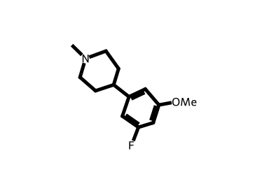 COc1cc(F)cc(C2CCN(C)CC2)c1